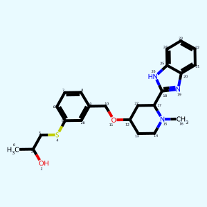 CC(O)CSc1cccc(COC2CCN(C)C(c3nc4ccccc4[nH]3)C2)c1